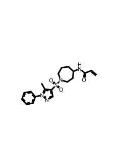 C=CC(=O)NC1CCCN(S(=O)(=O)c2cnn(-c3ccccc3)c2C)CC1